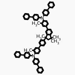 Cc1cc(-c2ccc(C3(C)CC(C)(C)c4ccc(-c5ccc(N(c6ccc(-c7ccccc7)cc6)c6ccc(-c7ccccc7)cc6)c(C)c5)cc43)cc2)ccc1N(c1ccc(-c2ccccc2)cc1)c1ccc(-c2ccccc2)cc1